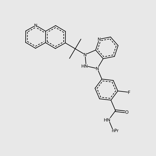 CCCNC(=O)c1ccc(N2NN(C(C)(C)c3ccc4ncccc4c3)c3ncccc32)cc1F